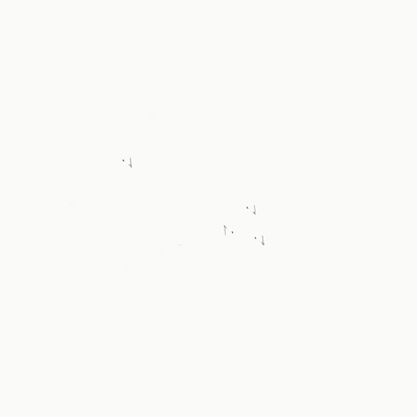 CC1(C)c2ccccc2-c2ccc3c(-c4ccccc4)nc(-n4c5ccccc5c5ccc(-c6ccc7c(c6)c6ccccc6n7-c6ccccc6)cc54)nc3c21